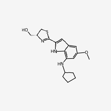 COc1cc(NC2CCCC2)c2[nH]c(C3=N[C@H](CO)CS3)cc2c1